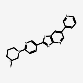 F[C@H]1CCCN(c2ccc(-c3nc4ncc(-c5cccnc5)cc4s3)cn2)C1